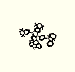 Cc1cc2c3c(c1)N(c1cccc4oc5ccccc5c14)c1cc(N4c5ccccc5C5(C)CCCCC45C)ccc1B3c1cc3c(cc1N2c1ccc2c(c1)C(C)(C)CCC2(C)C)C(C)(C)CCC3(C)C